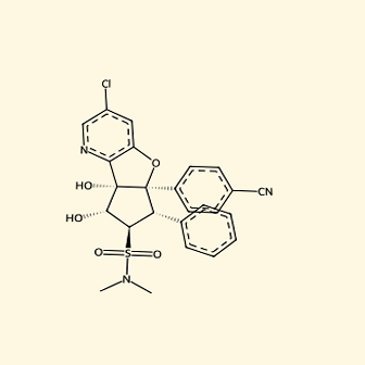 CN(C)S(=O)(=O)[C@@H]1[C@@H](c2ccccc2)[C@]2(c3ccc(C#N)cc3)Oc3cc(Cl)cnc3[C@]2(O)[C@H]1O